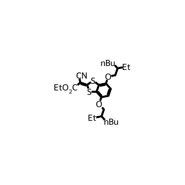 CCCCC(CC)COc1ccc(OCC(CC)CCCC)c2c1SC(=C(C#N)C(=O)OCC)S2